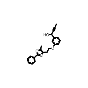 CC#CC(O)c1cccc(OCCc2nc(-c3ccccc3)oc2C)c1